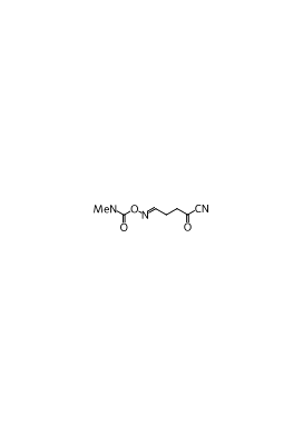 CNC(=O)ON=CCCC(=O)C#N